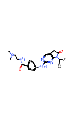 CCC(CC)N1C(=O)Cc2cnc(Nc3ccc(C(=O)NCCN(C)C)cc3)nc21